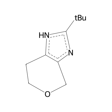 CC(C)(C)c1nc2c([nH]1)CCOC2